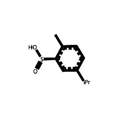 Cc1ccc(C(C)C)cc1S(=O)O